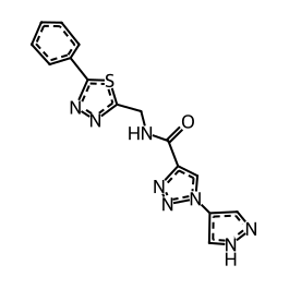 O=C(NCc1nnc(-c2ccccc2)s1)c1cn(-c2cn[nH]c2)nn1